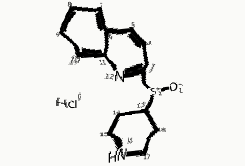 Cl.[O-][S+](c1ccc2ccccc2n1)C1CCNCC1